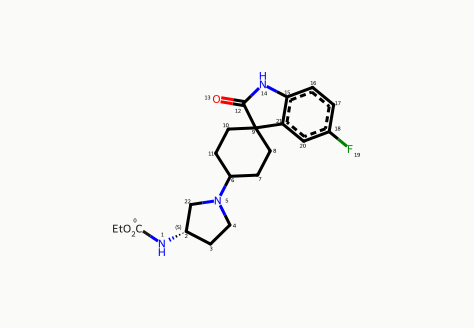 CCOC(=O)N[C@H]1CCN(C2CCC3(CC2)C(=O)Nc2ccc(F)cc23)C1